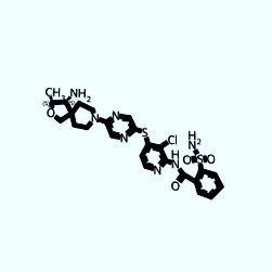 C[C@@H]1OCC2(CCN(c3cnc(Sc4ccnc(NC(=O)c5ccccc5S(N)(=O)=O)c4Cl)cn3)CC2)[C@@H]1N